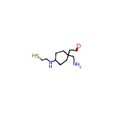 NCC1(CC=O)CCC(NCCS)CC1